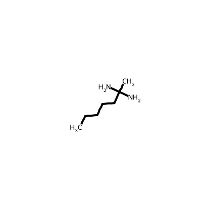 CCCCCC(C)(N)N